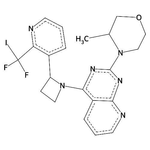 CC1COCCN1c1nc(N2CCC2c2cccnc2C(F)(F)I)c2cccnc2n1